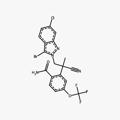 CC(C#N)(Cn1nc2cc(Cl)ccc2c1Br)c1cc(OC(F)(F)F)ccc1C(N)=O